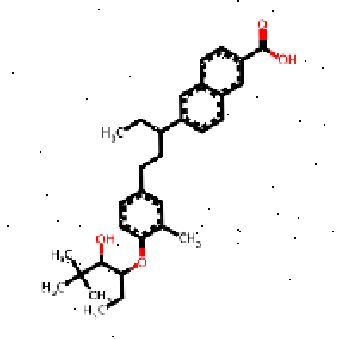 CCC(CCc1ccc(OC(CC)C(O)C(C)(C)C)c(C)c1)c1ccc2cc(C(=O)O)ccc2c1